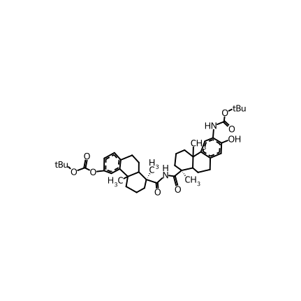 CC(C)(C)OC(=O)Nc1cc2c(cc1O)CCC1C2(C)CCC[C@]1(C)C(=O)NC(=O)[C@@]1(C)CCCC2(C)c3cc(OC(=O)OC(C)(C)C)ccc3CCC21